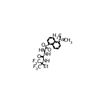 CCC(NC(=O)NNS(=O)(=O)c1cccc2c([As](C)C)cccc12)(C(F)(F)F)C(F)(F)F